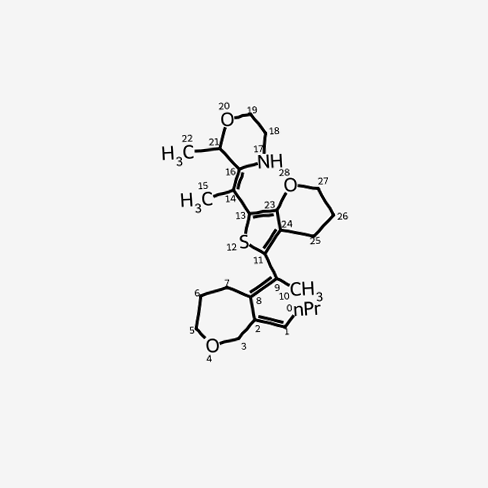 CCC/C=C1/COCCC/C1=C(/C)c1sc(/C(C)=C2\NCCOC2C)c2c1CCCO2